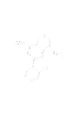 COc1nc(-c2ccccc2Cl)cc2c([N+](=O)[O-])cccc12